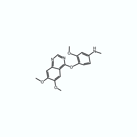 CNc1ccc(Oc2ncnc3cc(OC)c(OC)cc23)c(OC)c1